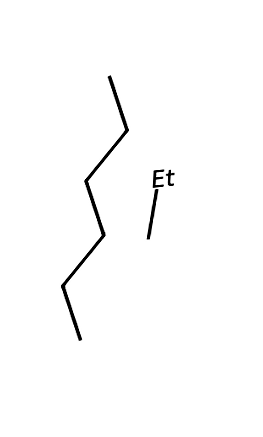 CCC.CCCCCC